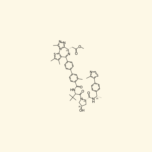 COC(=O)C[C@@H]1N=C(c2ccc(-c3ccc(C(=O)NC(C(=O)N4C[C@H](O)C[C@H]4C(=O)N[C@@H](C)c4ccc(-c5scnc5C)cc4)C(C)(C)C)c(C)c3)cc2)c2c(sc(C)c2C)-n2c(C)nnc21